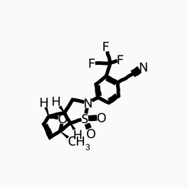 C[C@@]12C=C[C@@H](O1)[C@@H]1CN(c3ccc(C#N)c(C(F)(F)F)c3)S(=O)(=O)[C@@H]12